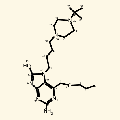 CCCCCc1nc(N)nc2nc(O)n(CCCCN3CCN(C(C)(C)C)CC3)c12